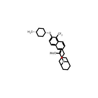 COC(=O)C1CC2CCCC(C1)N2CCc1ccc2c(C(F)(F)F)c(O[C@H]3CC[C@@H](C)CC3)ccc2c1